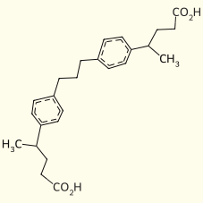 CC(CCC(=O)O)c1ccc(CCCc2ccc(C(C)CCC(=O)O)cc2)cc1